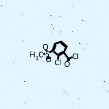 CS(=O)(=O)c1cccc(C(=O)Cl)c1Cl